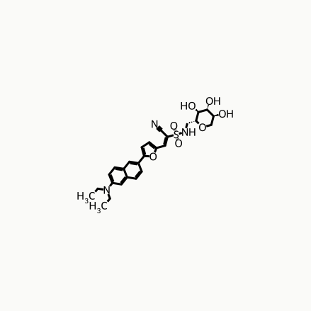 CCN(CC)c1ccc2cc(-c3ccc(/C=C(\C#N)S(=O)(=O)NC[C@H]4OC[C@H](O)[C@@H](O)[C@@H]4O)o3)ccc2c1